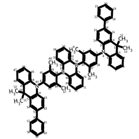 Cc1cc(N2c3ccccc3C(C)(C)c3cc(-c4ccccc4)ccc32)cc(C)c1B1c2ccccc2B(c2c(C)cc(N3c4ccccc4C(C)(C)c4cc(-c5ccccc5)ccc43)cc2C)c2ccccc21